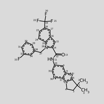 CC1(C)CCn2c1nc1cc(NC(=O)c3cc4cc(C(F)(F)F)ccc4n3Cc3cccc(F)c3)cnc12